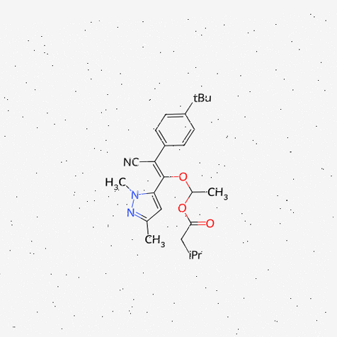 Cc1cc(/C(OC(C)OC(=O)CC(C)C)=C(\C#N)c2ccc(C(C)(C)C)cc2)n(C)n1